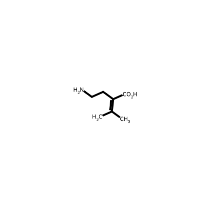 CC(C)=C(CCN)C(=O)O